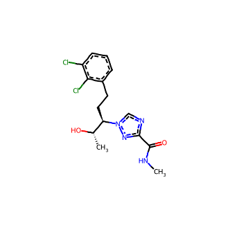 CNC(=O)c1ncn([C@H](CCc2cccc(Cl)c2Cl)[C@H](C)O)n1